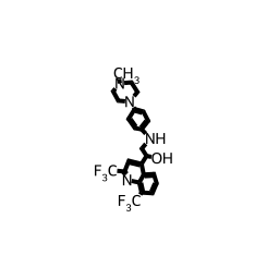 CN1CCN(c2ccc(NCC(O)c3cc(C(F)(F)F)nc4c(C(F)(F)F)cccc34)cc2)CC1